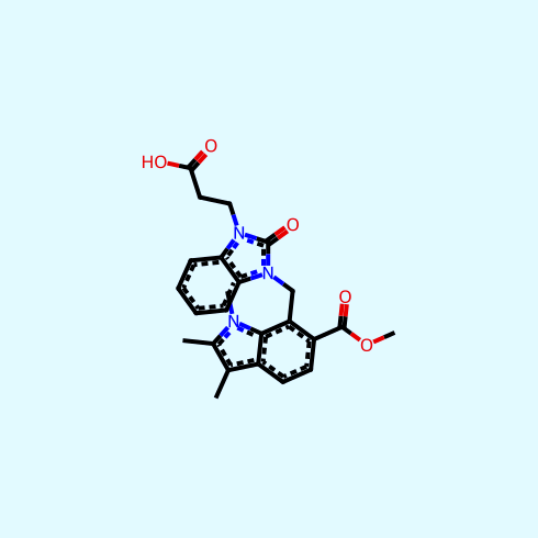 COC(=O)c1ccc2c(C)c(C)n(C)c2c1Cn1c(=O)n(CCC(=O)O)c2ccccc21